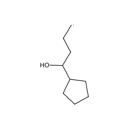 [CH2]CCC(O)C1CCCC1